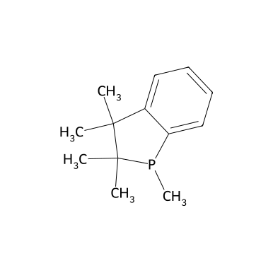 CP1c2ccccc2C(C)(C)C1(C)C